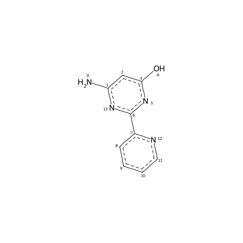 Nc1cc(O)nc(-c2ccccn2)n1